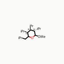 COC1OC(CC(C)C)[C@@H](C(C)C)[C@@H](C(C)C)[C@@H]1C(C)C